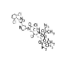 CC(C)(C)OC(=O)CC[C@@H](NC(=O)OC(C)(C)C)C(=O)CCN(C(=O)C(Cl)Cl)c1ccnc(-c2cc(-c3c(Cl)cccc3Cl)no2)c1